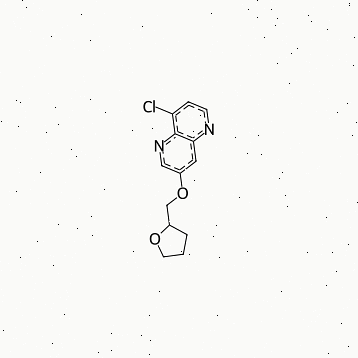 Clc1ccnc2cc(OCC3CCCO3)cnc12